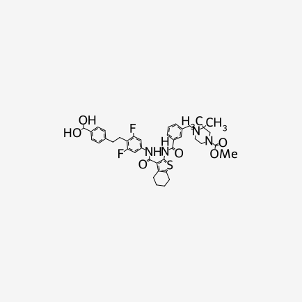 COC(=O)N1CCN(Cc2cccc(C(=O)Nc3sc4c(c3C(=O)Nc3cc(F)c(CCc5ccc(C(O)O)cc5)c(F)c3)CCCC4)c2)C(C)(C)C1